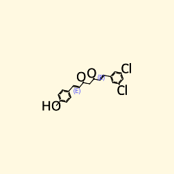 O=C(/C=C/c1ccc(O)cc1)CC(=O)/C=C/c1cc(Cl)cc(Cl)c1